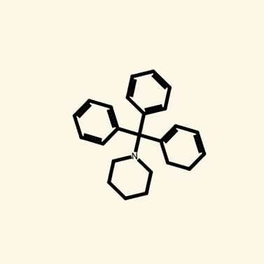 C1=CCCC(C(c2ccccc2)(c2ccccc2)N2CCCCC2)=C1